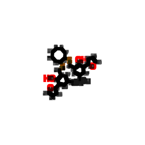 CC(C)(C)c1cc(CSC2CCCCCCC2SCc2cc(C(C)(C)C)cc(-c3ccco3)c2O)c(O)c(-c2ccco2)c1